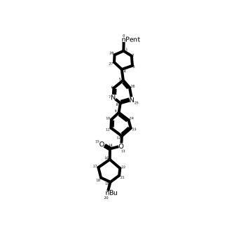 CCCCCC1CCC(c2cnc(-c3ccc(OC(=O)C4CCC(CCCC)CC4)cc3)nc2)CC1